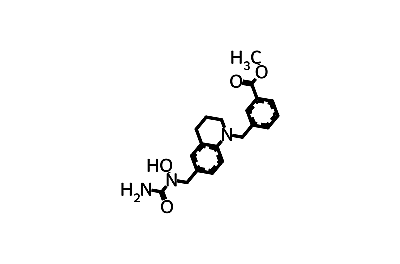 COC(=O)c1cccc(CN2CCCc3cc(CN(O)C(N)=O)ccc32)c1